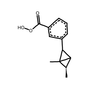 C[C@@H]1C2C(c3cccc(C(=O)OO)c3)C21C